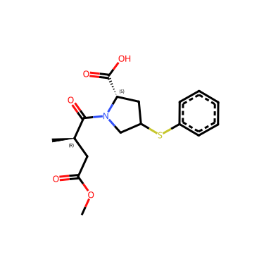 COC(=O)C[C@@H](C)C(=O)N1CC(Sc2ccccc2)C[C@H]1C(=O)O